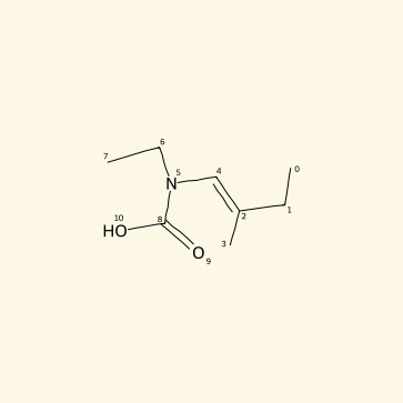 CCC(C)=CN(CC)C(=O)O